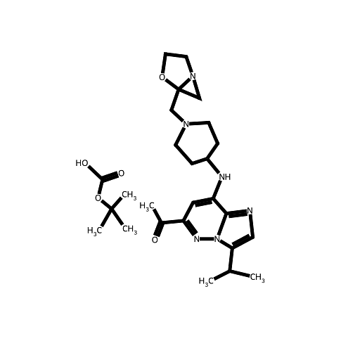 CC(=O)c1cc(NC2CCN(CC34CN3CCO4)CC2)c2ncc(C(C)C)n2n1.CC(C)(C)OC(=O)O